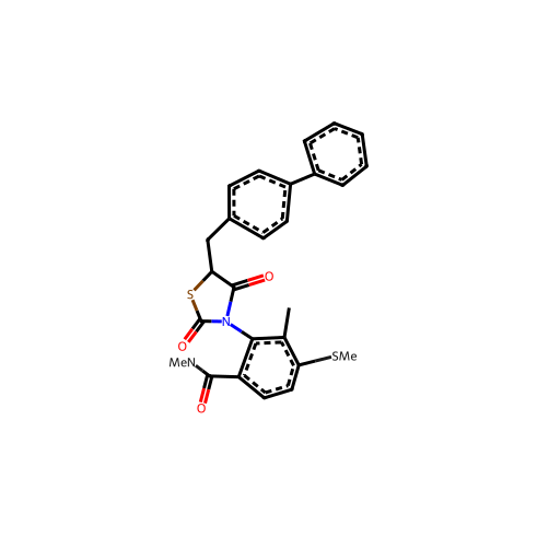 CNC(=O)c1ccc(SC)c(C)c1N1C(=O)SC(Cc2ccc(-c3ccccc3)cc2)C1=O